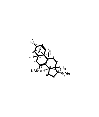 CNC1=C2[C@H](CC[C@]3(C)[C@@H](NC)CC[C@@H]23)[C@@]2(C)C=C[C@H](O)C[C@H]2C1